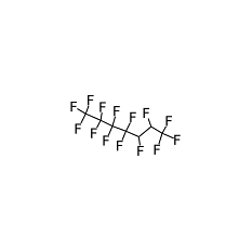 FC(C(F)C(F)(F)C(F)(F)C(F)(F)C(F)(F)F)C(F)(F)F